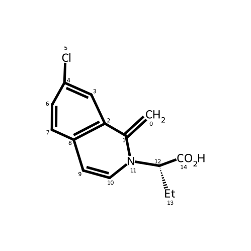 C=C1c2cc(Cl)ccc2C=CN1[C@@H](CC)C(=O)O